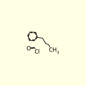 CCCCc1ccccc1.O=CCl